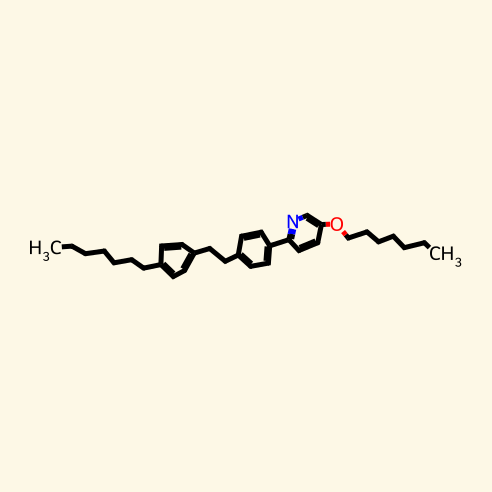 CCCCCCCOc1ccc(-c2ccc(CCc3ccc(CCCCCCC)cc3)cc2)nc1